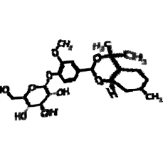 COc1cc(C2O[C@H]3C[C@H](C)CCC3C(C)(C)O2)ccc1O[C@@H]1O[C@H](CO)[C@@H](O)[C@H](O)[C@H]1O